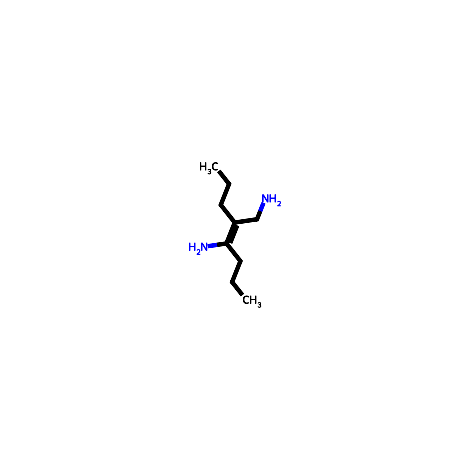 CCCC(N)=C(CN)CCC